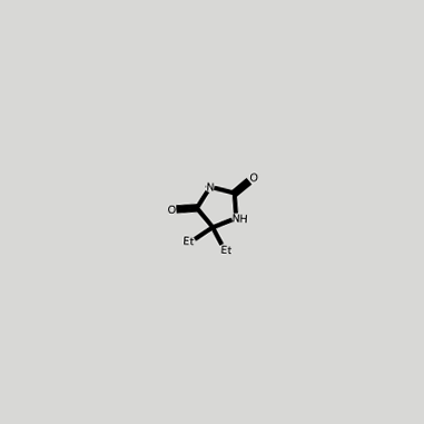 CCC1(CC)NC(=O)[N]C1=O